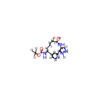 C[C@@H]1/C=C/C[C@H](NC(=O)OC(C)(C)C)c2ccnc(c2)-c2c(cnn2C)NC1=O